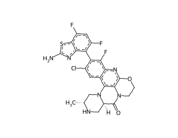 C[C@@H]1CN2c3c4c(nc5c(F)c(-c6c(F)cc(F)c7sc(N)nc67)c(Cl)cc35)OCCN4C(=O)[C@H]2CN1